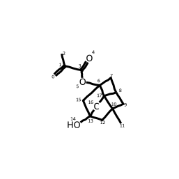 C=C(C)C(=O)OC12CC3CC4(C)CC(O)(C1)CC342